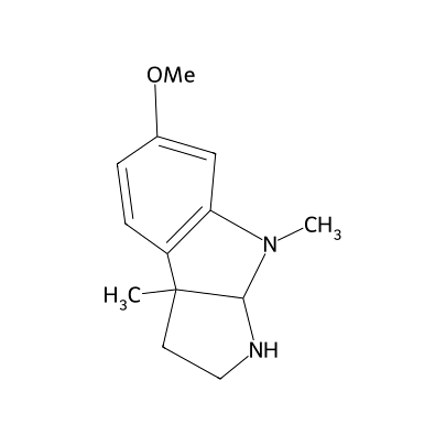 COc1ccc2c(c1)N(C)C1NCCC21C